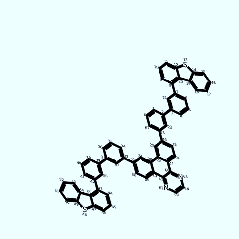 c1cc(-c2cccc(-c3cccc4sc5ccccc5c34)c2)cc(-c2ccc3c(c2)c2cc(-c4cccc(-c5cccc(-c6cccc7sc8ccccc8c67)c5)c4)ccc2c2nccnc32)c1